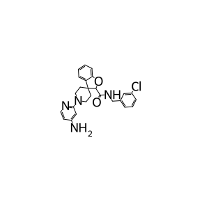 Nc1ccnc(N2CCC3(CC2)c2ccccc2OC3C(=O)NCc2cccc(Cl)c2)c1